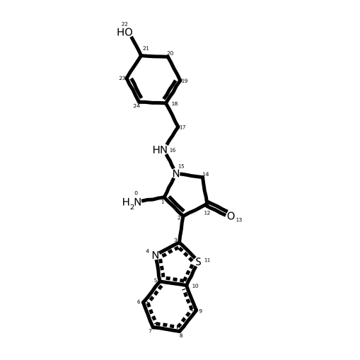 NC1=C(c2nc3ccccc3s2)C(=O)CN1NCC1=CCC(O)C=C1